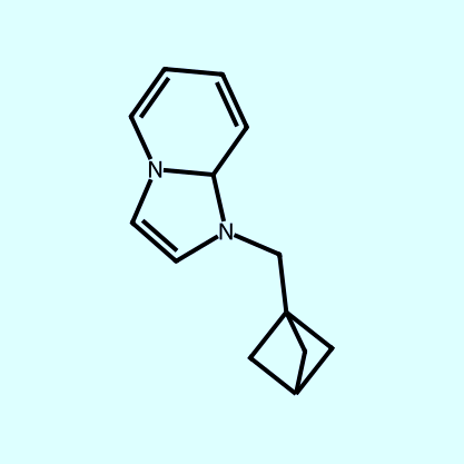 C1=CC2N(C=C1)C=CN2CC12CC(C1)C2